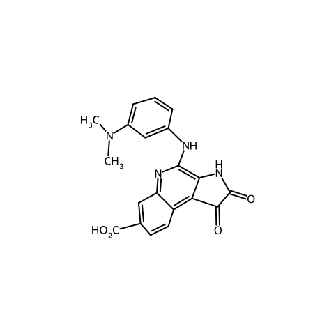 CN(C)c1cccc(Nc2nc3cc(C(=O)O)ccc3c3c2NC(=O)C3=O)c1